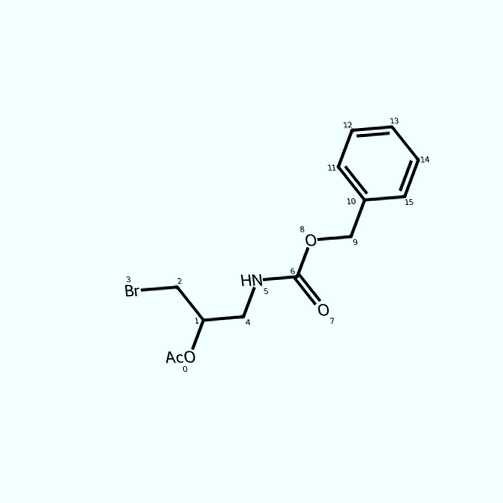 CC(=O)OC(CBr)CNC(=O)OCc1ccccc1